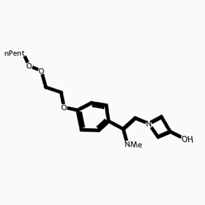 CCCCCOOCCOc1ccc(C(CN2CC(O)C2)NC)cc1